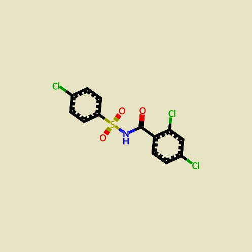 O=C(NS(=O)(=O)c1ccc(Cl)cc1)c1ccc(Cl)cc1Cl